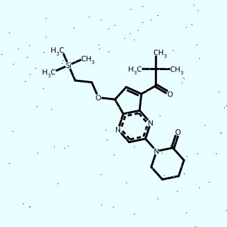 CC(C)(C)C(=O)C1=CC(OCC[Si](C)(C)C)c2ncc(N3CCCCC3=O)nc21